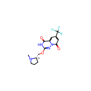 CN1CCC[C@H]1COc1nn2c(=O)cc(C(F)(F)F)cc2c(=O)[nH]1